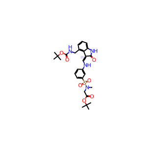 CN(CC(=O)OC(C)(C)C)S(=O)(=O)c1cccc(N/C=C2\C(=O)Nc3cccc(CNC(=O)OC(C)(C)C)c32)c1